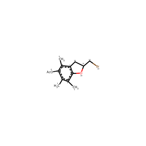 CC(=O)Oc1c(C)c(C)c2c(c1C)CC(CBr)O2